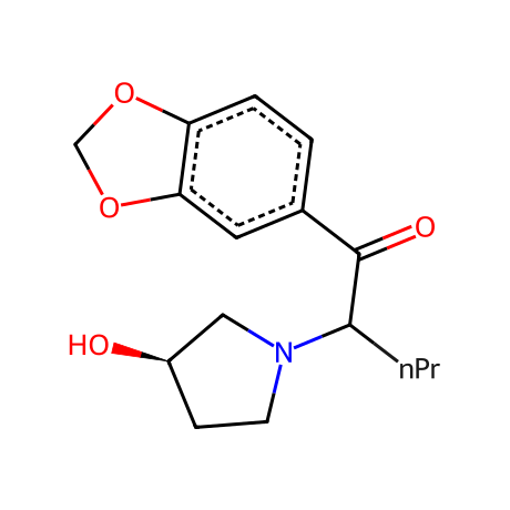 CCCC(C(=O)c1ccc2c(c1)OCO2)N1CC[C@@H](O)C1